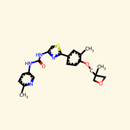 Cc1ccc(NC(=O)Nc2csc(-c3ccc(OCC4(C)COC4)c(C)c3)n2)cn1